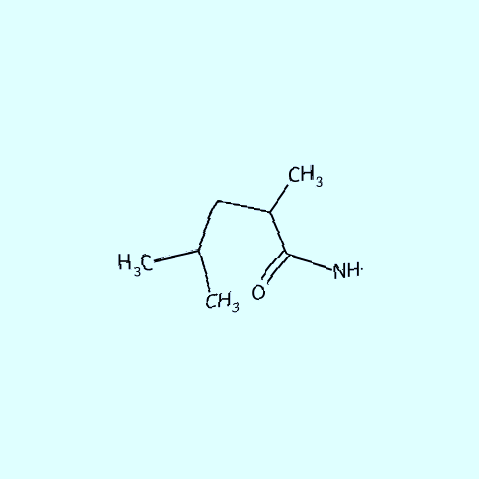 CC(C)CC(C)C([NH])=O